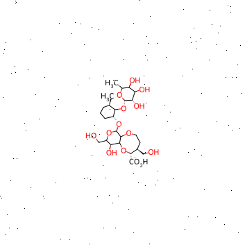 CC1O[C@@H](OC2[C@H](C)CCC[C@H]2O[C@@H]2OC(CO)[C@H](O)C3O[C@@H](C(=O)O)[C@H](CO)CCOC32)[C@@H](O)C(O)[C@@H]1O